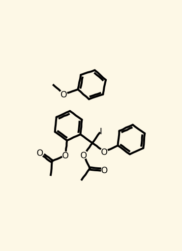 CC(=O)Oc1ccccc1C(I)(OC(C)=O)Oc1ccccc1.COc1ccccc1